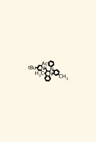 CC(=O)c1cc(C(C)(C)C)cc[n+]1CC1C(C)c2ccccc2N2c3cc(C)ccc3N(c3ccccc3)C12